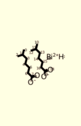 CC(C)CCCCC(=O)[O-].CC(C)CCCCC(=O)[O-].[BiH+2]